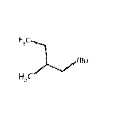 CC(CC(C)(C)C)CC(F)(F)F